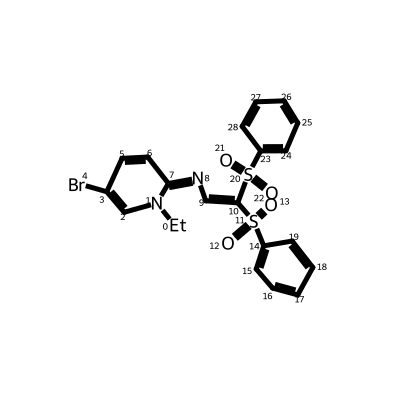 CCn1cc(Br)cc/c1=N/C=C(S(=O)(=O)c1ccccc1)S(=O)(=O)c1ccccc1